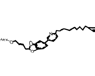 CCCCCCOCCCCC1Oc2ccc(-c3ccc(CCCCCCCCCC4CC4)nc3)cc2O1